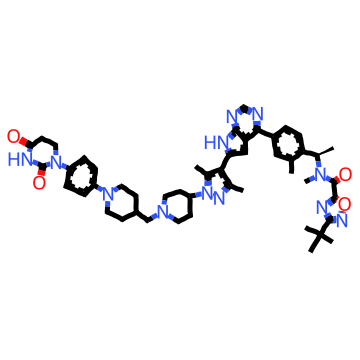 Cc1cc(-c2ncnc3[nH]c(-c4c(C)nn(C5CCN(CC6CCN(c7ccc(N8CCC(=O)NC8=O)cc7)CC6)CC5)c4C)cc23)ccc1[C@@H](C)N(C)C(=O)c1nc(C(C)(C)C)no1